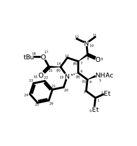 CCC(CC)C[C@H](NC(C)=O)[C@H]1[C@H](C(=O)N(C)C)C[C@H](C(=O)OC(C)(C)C)N1Cc1ccccc1